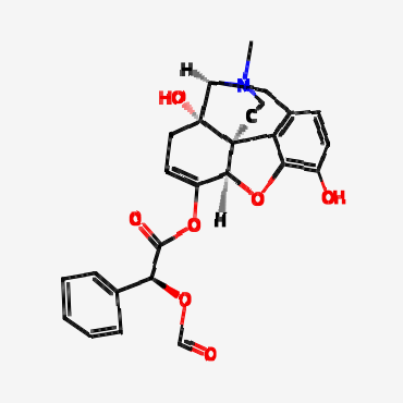 CN1CC[C@]23c4c5ccc(O)c4O[C@H]2C(OC(=O)[C@@H](OC=O)c2ccccc2)=CC[C@@]3(O)[C@H]1C5